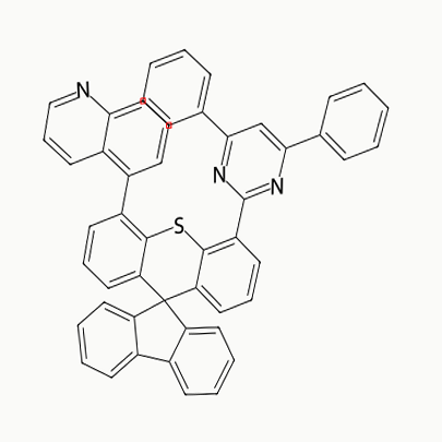 c1ccc(-c2cc(-c3ccccc3)nc(-c3cccc4c3Sc3c(-c5cccc6ncccc56)cccc3C43c4ccccc4-c4ccccc43)n2)cc1